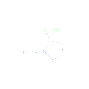 Cl.O=S(=O)(O)N1CCCC1F